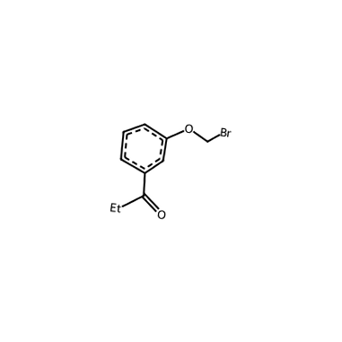 CCC(=O)c1cccc(OCBr)c1